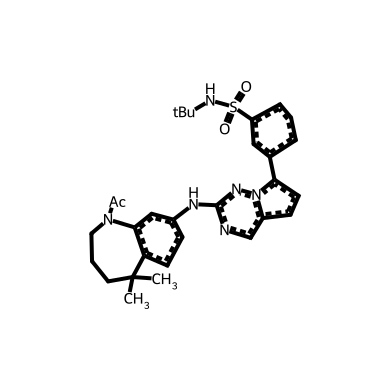 CC(=O)N1CCCC(C)(C)c2ccc(Nc3ncc4ccc(-c5cccc(S(=O)(=O)NC(C)(C)C)c5)n4n3)cc21